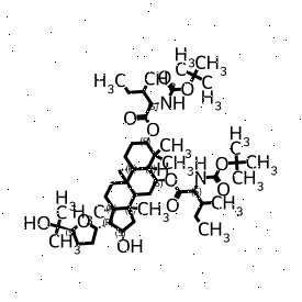 CCC(C)[C@H](NC(=O)OC(C)(C)C)C(=O)O[C@H]1CC2C3(CC[C@]4(C)[C@@H](C5CC[C@@H](C(C)(C)O)O5)[C@@H](O)C[C@@]24C)C[C@@]32CC[C@H](OC(=O)[C@@H](NC(=O)OC(C)(C)C)C(C)CC)C(C)(C)[C@H]12